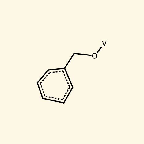 [V][O]Cc1ccccc1